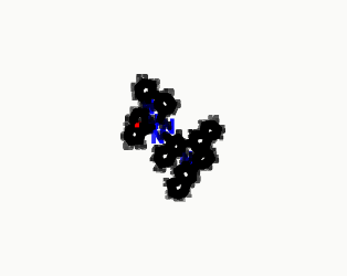 c1ccc(-c2nc(-c3cc(-c4ccc5ccccc5c4)c(-n4c5ccccc5c5cc6ccccc6cc54)c4ccccc34)nc(-c3cccc4c5ccccc5n(-c5ccccc5)c34)n2)cc1